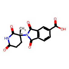 C[C@@]1(N2C(=O)c3ccc(C(=O)O)cc3C2=O)CCC(=O)NC1=O